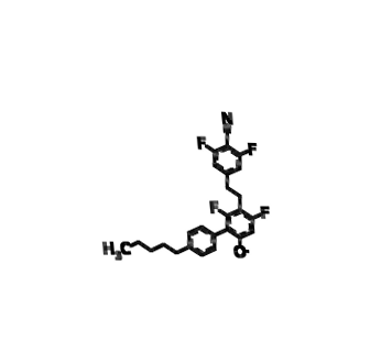 CCCCCc1ccc(-c2c([O])cc(F)c(CCc3cc(F)c(C#N)c(F)c3)c2F)cc1